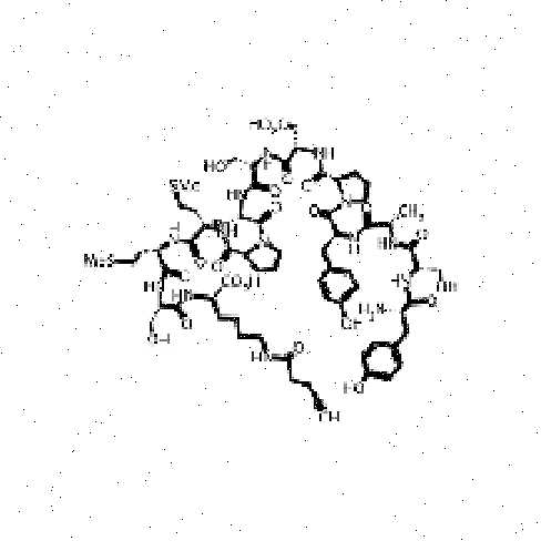 C#CCCC(=O)NCCCC[C@@H](NC(=O)[C@H](CO)NC(=O)[C@H](CCSC)NC(=O)[C@H](CCSC)NC(=O)[C@@H]1CCCN1C(=O)[C@@H](NC(=O)[C@H](CO)NC(=O)[C@H](CC(=O)O)NC(=O)[C@@H]1CCCN1C(=O)[C@H](Cc1ccc(O)cc1)NC(=O)[C@H](C)NC(=O)[C@H](CO)NC(=O)[C@@H](N)Cc1ccc(O)cc1)C(C)C)C(=O)O